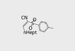 [C-]#[N+]/C(=C/CCCCCCC)S(=O)(=O)c1ccc(C)cc1